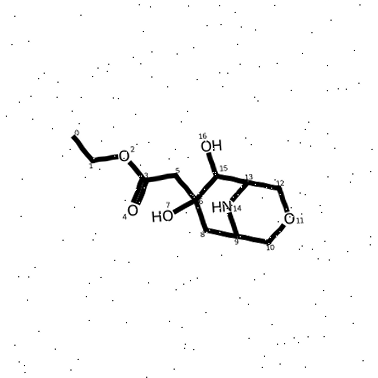 CCOC(=O)CC1(O)CC2COCC(N2)C1O